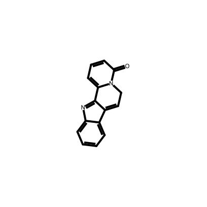 O=c1cccc2n1CC=C1C2=Nc2ccccc21